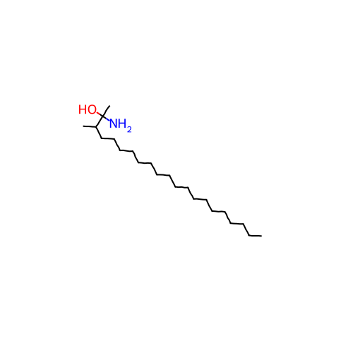 CCCCCCCCCCCCCCCCCCC(C)C(C)(N)O